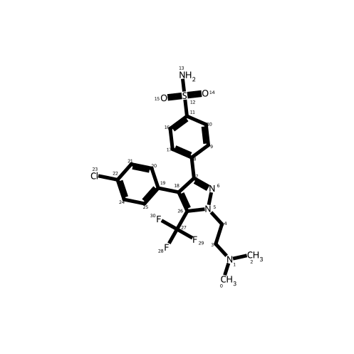 CN(C)CCn1nc(-c2ccc(S(N)(=O)=O)cc2)c(-c2ccc(Cl)cc2)c1C(F)(F)F